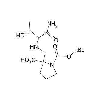 CC(O)C(NCC1(C(=O)O)CCCN1C(=O)OC(C)(C)C)C(N)=O